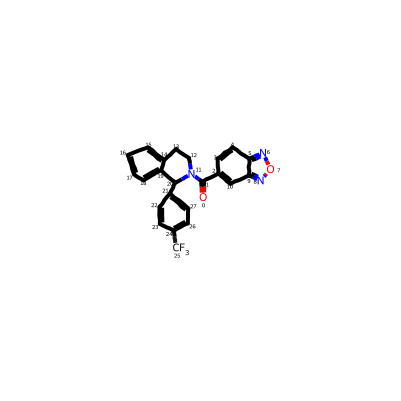 O=C(c1ccc2nonc2c1)N1CCc2ccccc2C1c1ccc(C(F)(F)F)cc1